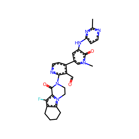 Cc1nccc(Nc2cc(-c3ccnc(N4CCn5c6c(c(F)c5C4=O)CCCC6)c3C=O)cn(C)c2=O)n1